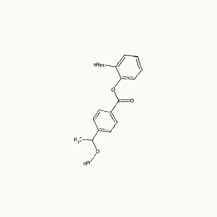 CCCCCCc1ccccc1OC(=O)c1ccc(C(C)OCCC)cc1